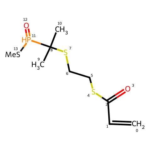 C=CC(=O)SCCSC(C)(C)[PH](=O)SC